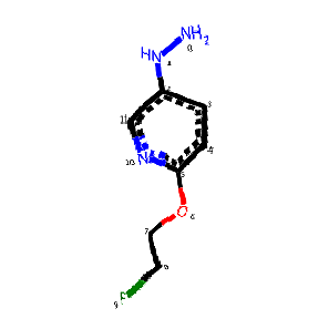 NNc1ccc(OCCF)nc1